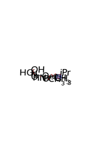 C/C(=C/CCC(C)C)[C@H]1CCC2C3CC=C4C[C@@H](OC(=O)NCCCCCC(=O)N5CC(O)C(CO)C5)CC[C@]4(C)C3CC[C@@]21C